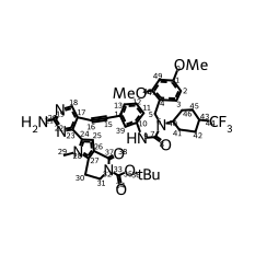 COc1ccc(CN(C(=O)Nc2cccc(C#Cc3cnc(N)nc3-c3cc4c(n3C)CCN(C(=O)OC(C)(C)C)C4=O)c2)C2CCC(C(F)(F)F)CC2)c(OC)c1